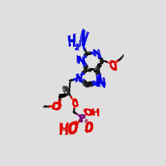 COC[C@@H](Cn1cnc2c(OC)nc(N)nc21)OCP(=O)(O)O